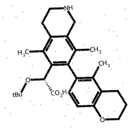 Cc1c(-c2c(C)c3c(c(C)c2[C@@H](OC(C)(C)C)C(=O)O)CCNC3)ccc2c1CCCO2